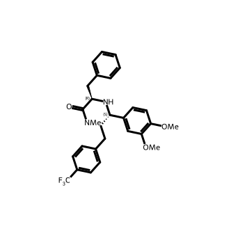 CNC(=O)[C@@H](Cc1ccccc1)N[C@@H](CCc1ccc(C(F)(F)F)cc1)c1ccc(OC)c(OC)c1